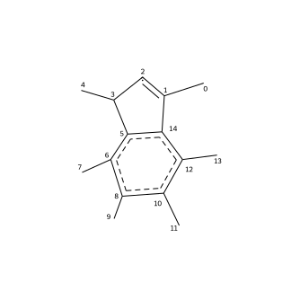 CC1=[C]C(C)c2c(C)c(C)c(C)c(C)c21